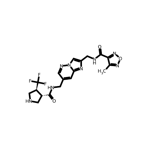 Cc1nonc1C(=O)NCc1cn2ncc(CNC(=O)[C@@H]3CNC[C@H]3C(F)(F)F)cc2n1